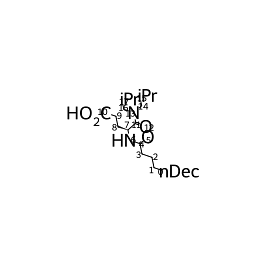 CCCCCCCCCCCCCC(=O)N[C@@H](CCC(=O)O)C(=O)N(CC(C)C)CC(C)C